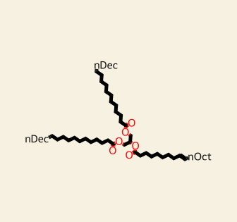 CCCCCCCCC=CCCCCCCCC(=O)OC(COC(=O)CCCCCCCCCCCCCCCCCCCCC)COC(=O)CCCCCCCCCCCCCCCCCCCCC